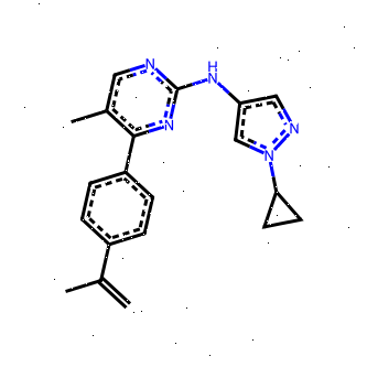 C=C(C)c1ccc(-c2nc(Nc3cnn(C4CC4)c3)ncc2C)cc1